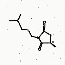 C[C@@H]1CC(=O)N(CCCN(C)C)C1=O